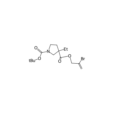 C=C(Br)COC(=O)C1(CC)CCN(C(=O)OC(C)(C)C)C1